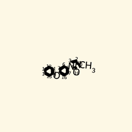 Cn1ccn(-c2ccc(Oc3ccccc3)cc2)c1=O